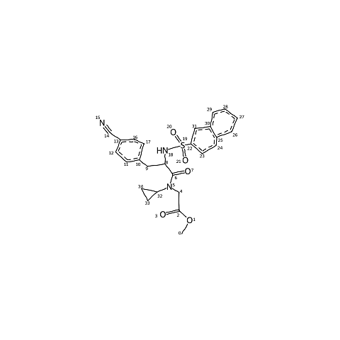 COC(=O)CN(C(=O)C(Cc1ccc(C#N)cc1)NS(=O)(=O)c1ccc2ccccc2c1)C1CC1